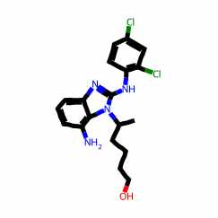 CC(CCCCO)n1c(Nc2ccc(Cl)cc2Cl)nc2cccc(N)c21